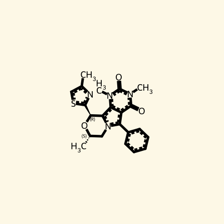 Cc1csc([C@@H]2O[C@@H](C)Cn3c(-c4ccccc4)c4c(=O)n(C)c(=O)n(C)c4c32)n1